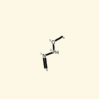 C=NPOC